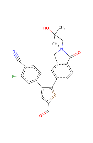 CC(C)(O)CN1Cc2cc(-c3sc(C=O)cc3-c3ccc(C#N)c(F)c3)ccc2C1=O